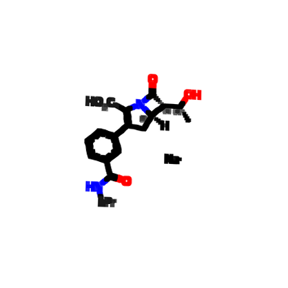 CCCNC(=O)c1cccc(C2=C(C(=O)O)N3C(=O)[C@H]([C@@H](C)O)[C@H]3C2)c1.[Na]